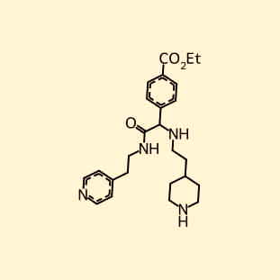 CCOC(=O)c1ccc(C(NCCC2CCNCC2)C(=O)NCCc2ccncc2)cc1